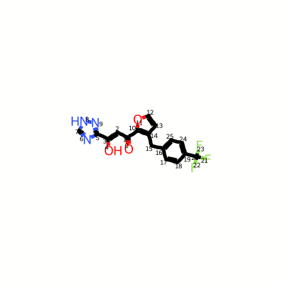 O=C(C=C(O)c1nc[nH]n1)c1occc1Cc1ccc(C(F)(F)F)cc1